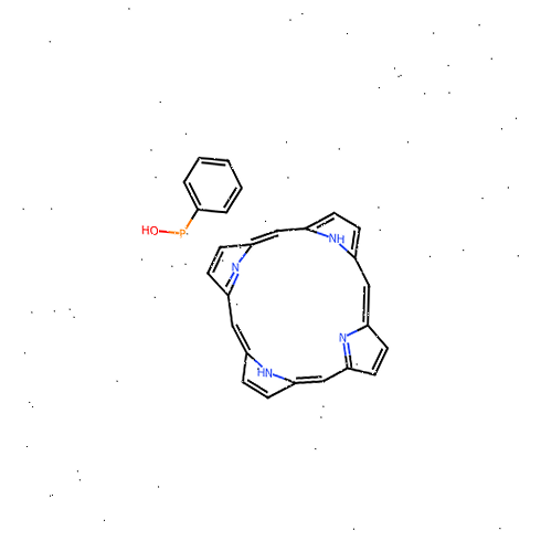 C1=Cc2cc3ccc(cc4nc(cc5ccc(cc1n2)[nH]5)C=C4)[nH]3.O[P]c1ccccc1